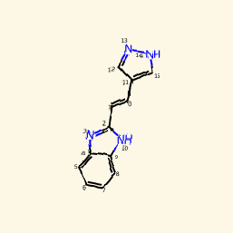 C(=Cc1nc2ccccc2[nH]1)c1cn[nH]c1